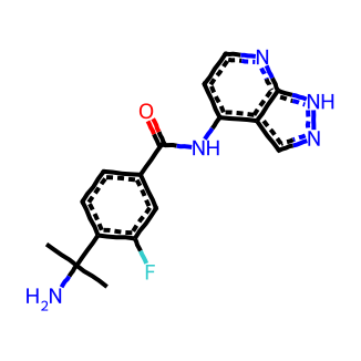 CC(C)(N)c1ccc(C(=O)Nc2ccnc3[nH]ncc23)cc1F